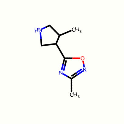 Cc1noc(C2CNCC2C)n1